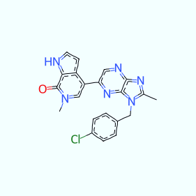 Cc1nc2ncc(-c3cn(C)c(=O)c4[nH]ccc34)nc2n1Cc1ccc(Cl)cc1